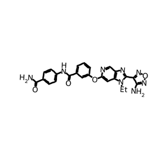 CCn1c(-c2nonc2N)nc2cnc(Oc3cccc(C(=O)Nc4ccc(C(N)=O)cc4)c3)cc21